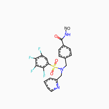 O=NNC(=O)c1ccc(CN(Cc2ccccn2)S(=O)(=O)c2cc(F)c(F)c(F)c2F)cc1